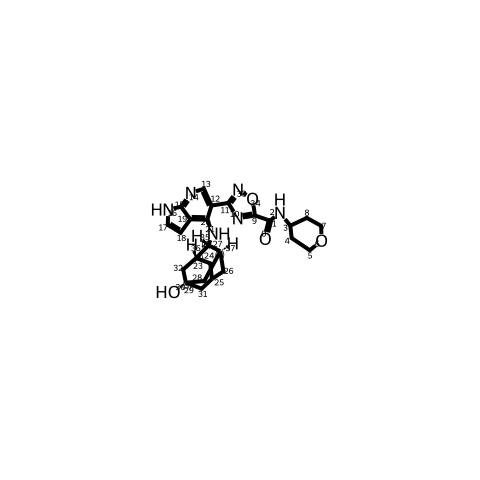 O=C(NC1CCOCC1)c1nc(-c2cnc3[nH]ccc3c2N[C@H]2[C@@H]3CC4C[C@H]2C[C@@](O)(C4)C3)no1